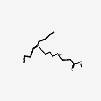 CCCCN(CCCC)CCCNCCC(=O)OC